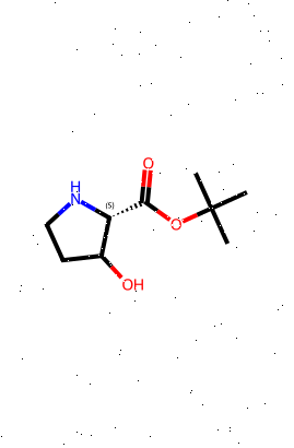 CC(C)(C)OC(=O)[C@H]1NCCC1O